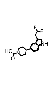 O=C(O)N1CCC(c2ccc3[nH]cc(CC(F)F)c3c2)CC1